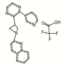 O=C(O)C(F)(F)F.c1cncc(-c2nccnc2C2CN(c3ccc4ccccc4n3)C2)c1